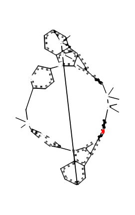 C[Si]1(C)Cc2ccc(cn2)-n2c3ccc4cc3c3cc(ccc32)[Si](C)(C)[Si](C)(C)c2ccc3c(c2)c2cc(ccc2n3-c2ccc1nc2)[Si](C)(C)[Si]4(C)C